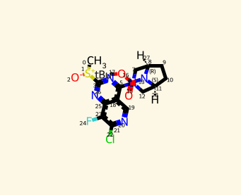 C[S+]([O-])c1nc(N2C[C@H]3CC[C@@H](C2)N3C(=O)OC(C)(C)C)c2cnc(Cl)c(F)c2n1